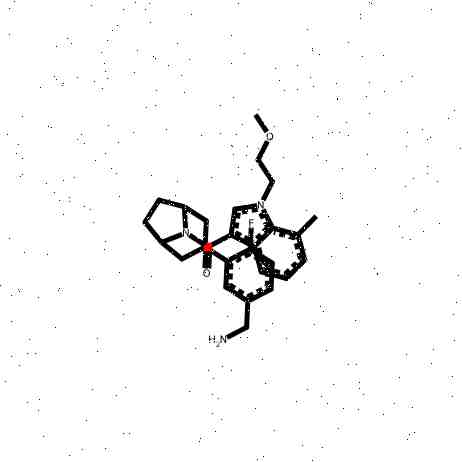 COCCn1cc(C(=O)N2C3CCC2CC(c2cc(CN)ccc2F)C3)c2cccc(C)c21